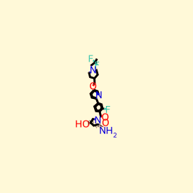 CC(F)(F)CN1CCC(COc2ccc(-c3ccc(C(=O)N4C[C@H](O)C[C@H]4C(N)=O)c(F)c3)nc2)CC1